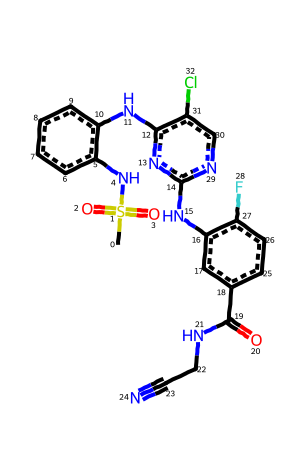 CS(=O)(=O)Nc1ccccc1Nc1nc(Nc2cc(C(=O)NCC#N)ccc2F)ncc1Cl